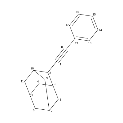 C(#CC1C2CC3CC(C2)CC1C3)c1ccccc1